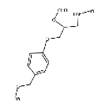 CCCOCc1ccc(OCC(CNC(C)C)OC=O)cc1